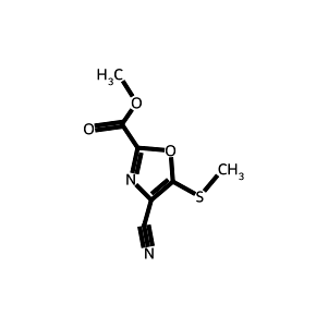 COC(=O)c1nc(C#N)c(SC)o1